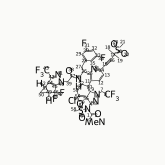 CNC(=O)N(c1nn(CC(F)(F)F)c2c(-c3ccc(C#CC(C)(C)S(C)(=O)=O)nc3[C@H](Cc3cc(F)cc(F)c3)NC(=O)Cn3nc(C(F)(F)F)c4c3C(F)(F)[C@@H]3C[C@H]43)ccc(Cl)c12)S(C)(=O)=O